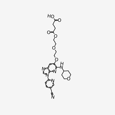 N#Cc1ccc(-n2cnc3cc(OCCOCCOC(=O)CCC(=O)O)c(NC4CCOCC4)nc32)nc1